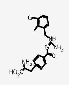 Cc1c(Cl)cccc1CNC(N)=NC(=O)c1ccc(CC(N)C(=O)O)cc1